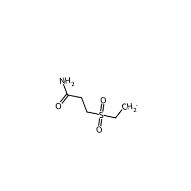 [CH2]CS(=O)(=O)CCC(N)=O